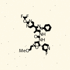 COCCN1C[C@@H](NC(=O)Nc2c(C)c(-c3cnc(OC(F)F)nc3)nn2-c2ccccc2)[C@H](c2ccnc(F)c2)O1